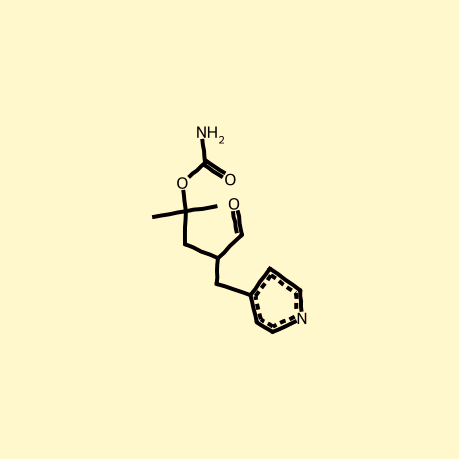 CC(C)(CC(C=O)Cc1ccncc1)OC(N)=O